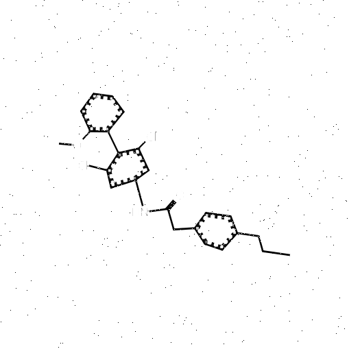 CCCc1ccc(CC(=O)Nc2cc(Cl)c(-c3ccccc3OC)c(Cl)c2)cc1